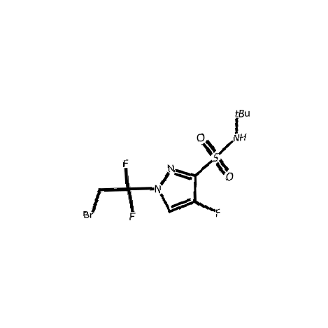 CC(C)(C)NS(=O)(=O)c1nn(C(F)(F)CBr)cc1F